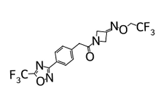 O=C(Cc1ccc(-c2noc(C(F)(F)F)n2)cc1)N1CC(=NOCC(F)(F)F)C1